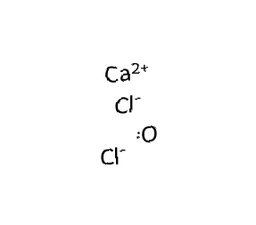 [Ca+2].[Cl-].[Cl-].[O]